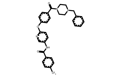 O=C(Nc1ccc(Oc2ccc(C(=O)N3CCN(Cc4ccccc4)CC3)cc2)nc1)c1ccc(C(F)(F)F)cc1